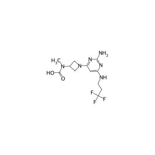 CN(C(=O)O)C1CN(c2cc(NCCC(F)(F)F)nc(N)n2)C1